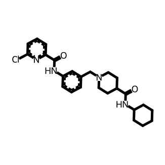 O=C(Nc1cccc(CN2CCC(C(=O)NC3CCCCC3)CC2)c1)c1cccc(Cl)n1